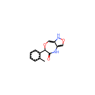 Cc1ccccc1C1OC=C2NOC=C2NC1=O